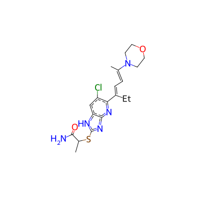 CC/C(=C\C=C(/C)N1CCOCC1)c1nc2nc(SC(C)C(N)=O)[nH]c2cc1Cl